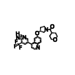 Nc1ncc(-c2ccnc3ccc(OC4CCN(C(=O)C5CCOCC5)C4)cc23)cc1C(F)(F)F